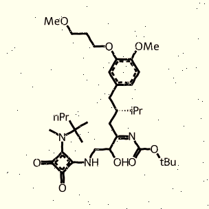 CCCC(C)(C)N(C)c1c(NCC(O)/C(C[C@H](Cc2ccc(OC)c(OCCCOC)c2)C(C)C)=N\C(=O)OC(C)(C)C)c(=O)c1=O